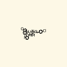 [2H]C12CCC(=O)N1CCN(c1ncccc1C(=O)Nc1nnc(OCc3ccc(Cl)cc3)s1)C2